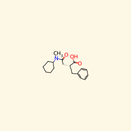 CN(C(=O)C[C@@H](Cc1ccccc1)C(=O)O)C1CCCCC1